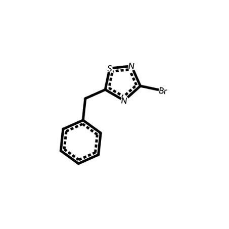 Brc1nsc(Cc2ccccc2)n1